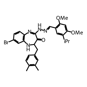 COc1cc(OC)c(C(C)C)cc1/C=N/NC1=Nc2ccc(Br)cc2NC(Cc2ccc(C)c(C)c2)C1=O